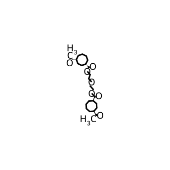 CC(=O)[C@@H]1CCCC[C@H](C(=O)OCCOCCOC(=O)[C@@H]2CCCC[C@H](C(C)=O)CC2)CC1